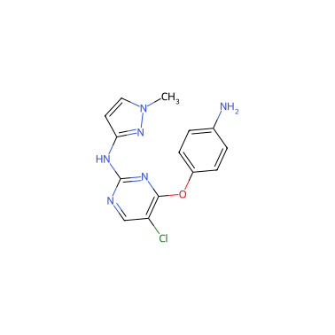 Cn1ccc(Nc2ncc(Cl)c(Oc3ccc(N)cc3)n2)n1